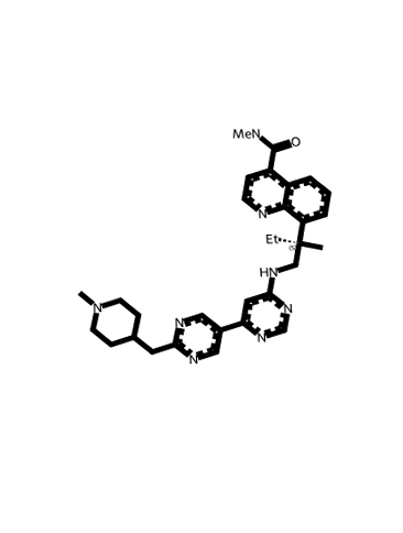 CC[C@](C)(CNc1cc(-c2cnc(CC3CCN(C)CC3)nc2)ncn1)c1cccc2c(C(=O)NC)ccnc12